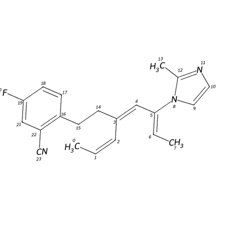 C\C=C/C(=C\C(=C\C)n1ccnc1C)CCc1ccc(F)cc1C#N